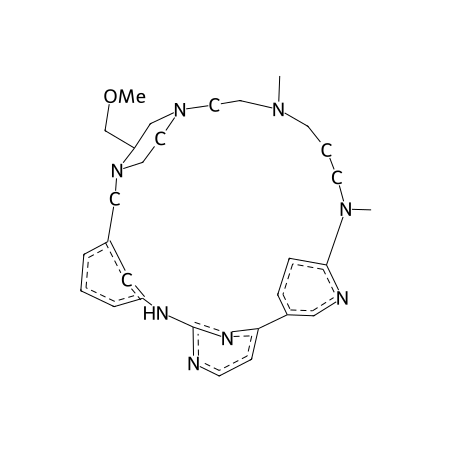 COCC1CN2CCN(C)CCCN(C)c3ccc(cn3)-c3ccnc(n3)Nc3cccc(c3)CN1CC2